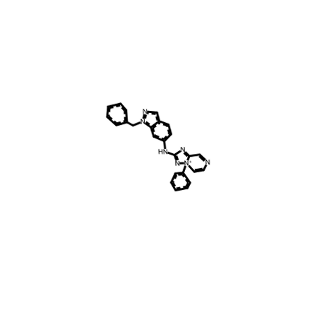 C1=C[N+]2(c3ccccc3)N=C(Nc3ccc4cnn(Cc5ccccc5)c4c3)N=C2C=N1